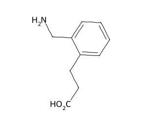 NCc1ccccc1CCC(=O)O